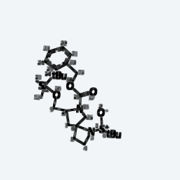 CC(C)(C)[S+]([O-])N1CCC12CC(CO[Si](C)(C)C(C)(C)C)N(C(=O)OCc1ccccc1)C2